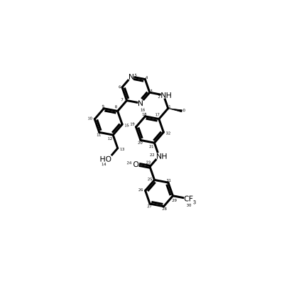 C[C@H](Nc1cncc(-c2cccc(CO)c2)n1)c1cccc(NC(=O)c2cccc(C(F)(F)F)c2)c1